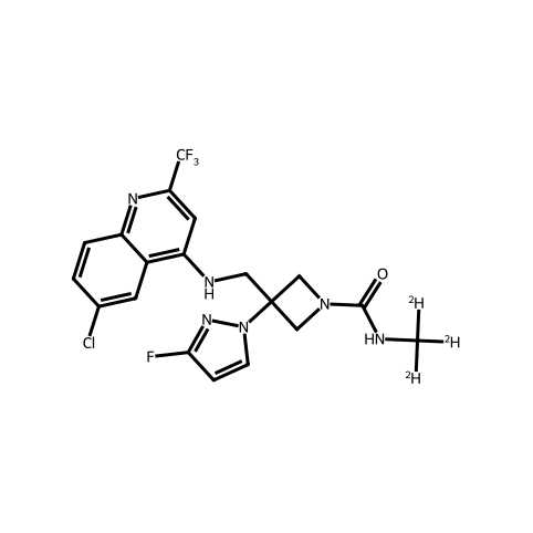 [2H]C([2H])([2H])NC(=O)N1CC(CNc2cc(C(F)(F)F)nc3ccc(Cl)cc23)(n2ccc(F)n2)C1